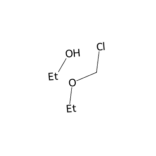 CCO.CCOCCl